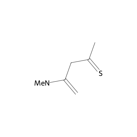 C=C(CC(C)=S)NC